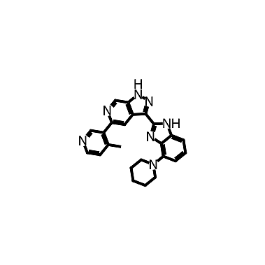 Cc1ccncc1-c1cc2c(-c3nc4c(N5CCCCC5)cccc4[nH]3)n[nH]c2cn1